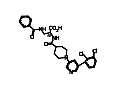 O=C(NC[C@H](NC(=O)C1CCN(c2cncc(-c3cccc(Cl)c3Cl)c2)CC1)C(=O)O)c1ccccc1